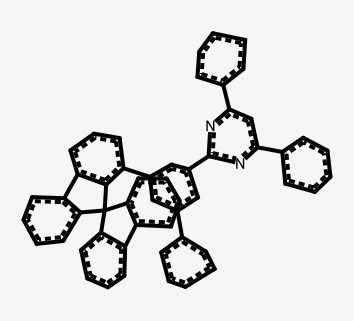 c1ccc(-c2cc(-c3nc(-c4ccccc4)cc(-c4ccccc4)n3)cc(-c3cccc4c3C3(c5ccccc5-c5ccccc53)c3ccccc3-4)c2)cc1